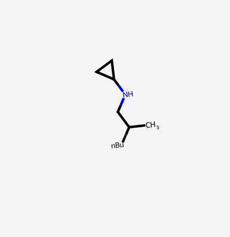 CCCCC(C)CNC1CC1